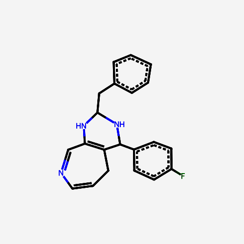 Fc1ccc(C2NC(Cc3ccccc3)NC3=C2CC=CN=C3)cc1